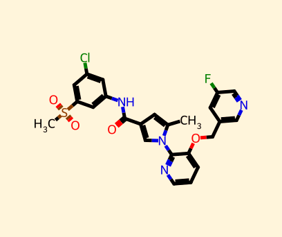 Cc1cc(C(=O)Nc2cc(Cl)cc(S(C)(=O)=O)c2)cn1-c1ncccc1OCc1cncc(F)c1